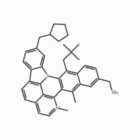 Cc1c2cc(CC(C)(C)C)ccc2c(CC(C)(C)I)c2c1c1c3c(ccc4c5ccc(CC6CCCC6)cc5n2c43)cc[n+]1C